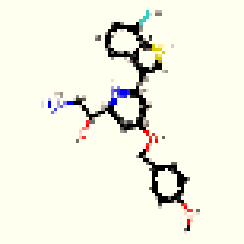 COc1ccc(COc2cc(-c3csc4c(F)cccc34)nc(C(O)CN)c2)cc1